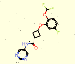 O=C(Nc1cncnc1)[C@H]1C[C@H](Oc2cc(F)ccc2OC(F)F)C1